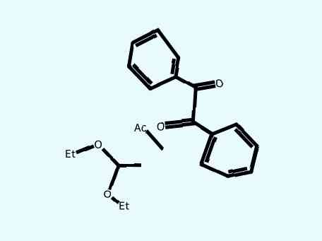 CC(C)=O.CCOC(C)OCC.O=C(C(=O)c1ccccc1)c1ccccc1